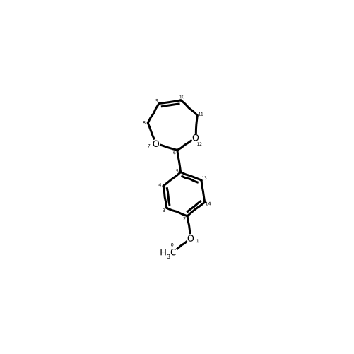 COc1ccc(C2OCC=CCO2)cc1